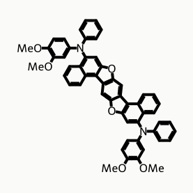 COc1ccc(N(c2ccccc2)c2cc3oc4cc5c(cc4c3c3ccccc23)oc2cc(N(c3ccccc3)c3ccc(OC)c(OC)c3)c3ccccc3c25)cc1OC